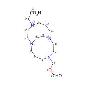 O=COCN1CCCN2CCN(CCCN(CC(=O)O)CC2)CC1